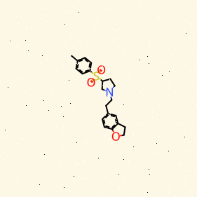 Cc1ccc(S(=O)(=O)C2CCN(CCc3ccc4c(c3)CCO4)C2)cc1